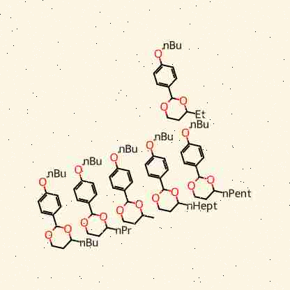 CCCCCC1CCOC(c2ccc(OCCCC)cc2)O1.CCCCCCCC1CCOC(c2ccc(OCCCC)cc2)O1.CCCCOc1ccc(C2OCCC(C)O2)cc1.CCCCOc1ccc(C2OCCC(CC)O2)cc1.CCCCOc1ccc(C2OCCC(CCC)O2)cc1.CCCCOc1ccc(C2OCCC(CCCC)O2)cc1